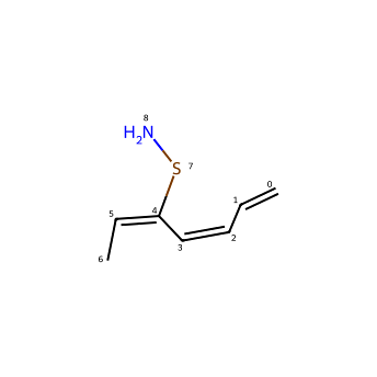 C=C/C=C\C(=C/C)SN